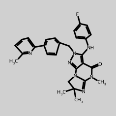 Cc1cccc(-c2ccc(Cn3nc4c(c3Nc3ccc(F)cc3)C(=O)N(C)C3=NC(C)(C)CN34)cc2)n1